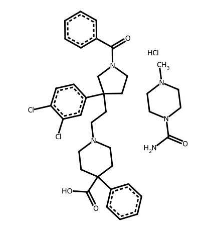 CN1CCN(C(N)=O)CC1.Cl.O=C(c1ccccc1)N1CCC(CCN2CCC(C(=O)O)(c3ccccc3)CC2)(c2ccc(Cl)c(Cl)c2)C1